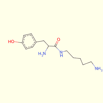 NCCCCCNC(=O)C(N)Cc1ccc(O)cc1